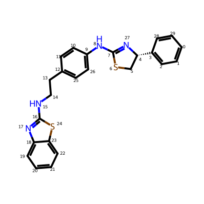 c1ccc([C@@H]2CSC(Nc3ccc(CCNc4nc5ccccc5s4)cc3)=N2)cc1